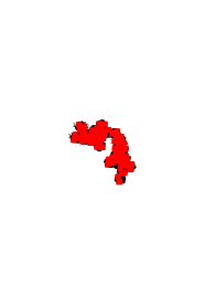 c1ccc(-c2ccc(-c3ccccc3N(c3ccc4c(c3)C(c3ccc(-c5ccccc5)cc3)(c3ccc(-c5ccccc5)cc3)c3ccccc3-4)c3ccc4oc5cc(-c6cccc(-c7ccc(C8(c9ccc(-c%10ccccc%10)cc9)c9ccccc9-c9ccc(N(c%10ccc%11sc%12ccccc%12c%11c%10)c%10ccccc%10-c%10ccc(-c%11ccccc%11)cc%10)cc98)cc7)c6)ccc5c4c3)cc2)cc1